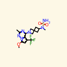 COc1cc(C(F)(F)F)c2c(N3CC4(CC(N(C)S(N)(=O)=O)C4)C3)nc(C)nn12